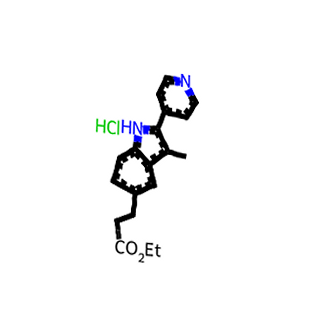 CCOC(=O)CCc1ccc2[nH]c(-c3ccncc3)c(C)c2c1.Cl